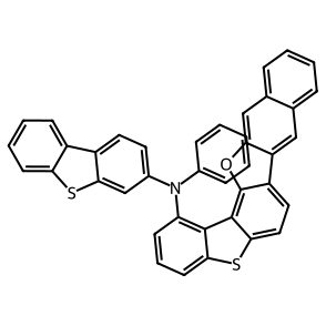 c1ccc(N(c2ccc3c(c2)sc2ccccc23)c2cccc3sc4ccc5c6cc7ccccc7cc6oc5c4c23)cc1